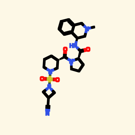 CN1Cc2ccccc2[C@H](NC(=O)[C@H]2CCCN2C(=O)[C@H]2CCCN(S(=O)(=O)N3CC(C#N)C3)C2)C1